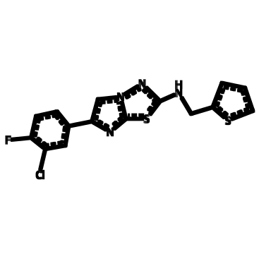 Fc1ccc(-c2cn3nc(NCc4cccs4)sc3n2)cc1Cl